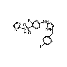 O=S(=O)(Nc1nccs1)c1ccc(Nc2ccn(Cc3ccc(F)cc3)n2)cc1F